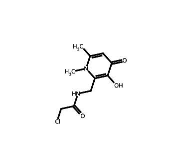 Cc1cc(=O)c(O)c(CNC(=O)CCl)n1C